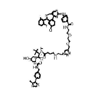 Cc1ncsc1-c1ccc(CNC(=O)[C@@H]2C[C@@H](O)CN2C(=O)[C@@H](NC(=O)CCCNCCn2cc(COCCOCCNC(=O)c3ccc(Nc4ncc5c(n4)-c4ccc(Cl)cc4C(c4c(F)cccc4F)=NC5)cc3)nn2)C(C)(C)C)cc1